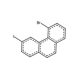 Brc1cccc2ccc3ccc(I)cc3c12